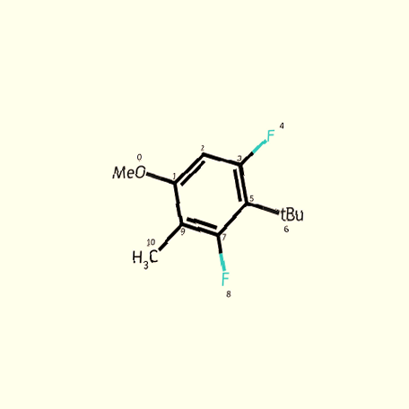 COc1cc(F)c(C(C)(C)C)c(F)c1C